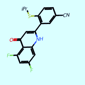 CC(C)Sc1ccc(C#N)cc1-c1cc(=O)c2c(F)cc(F)cc2[nH]1